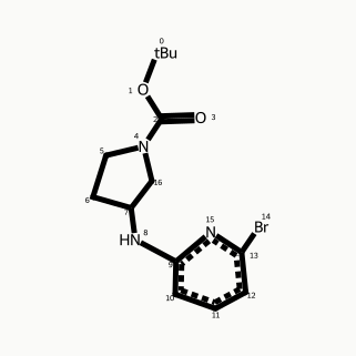 CC(C)(C)OC(=O)N1CCC(Nc2cccc(Br)n2)C1